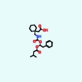 CC(C)CC(=O)OC(Cc1ccccc1)OC(=O)NCC1(CC(=O)O)CCCCC1